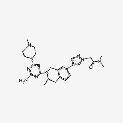 CC1Cc2ccc(-c3cnn(CC(=O)N(C)C)c3)cc2CN1c1cc(N2CCN(C)CC2)nc(N)n1